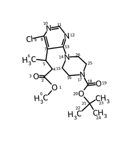 COC(=O)CC(C)c1c(Cl)ncnc1N1CCN(C(=O)OC(C)(C)C)CC1